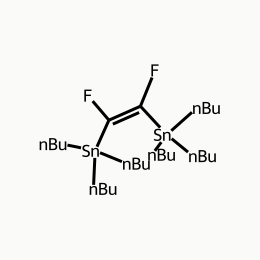 CCC[CH2][Sn]([CH2]CCC)([CH2]CCC)/[C](F)=[C](/F)[Sn]([CH2]CCC)([CH2]CCC)[CH2]CCC